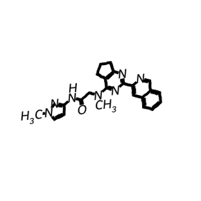 CN(CC(=O)Nc1ccn(C)n1)c1nc(-c2cc3ccccc3cn2)nc2c1CCC2